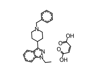 CCn1nc(C2CCN(Cc3ccccc3)CC2)c2ccccc21.O=C(O)/C=C\C(=O)O